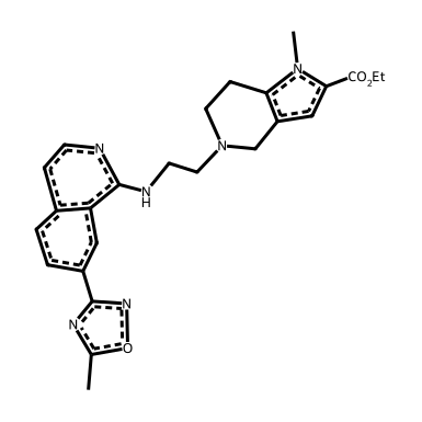 CCOC(=O)c1cc2c(n1C)CCN(CCNc1nccc3ccc(-c4noc(C)n4)cc13)C2